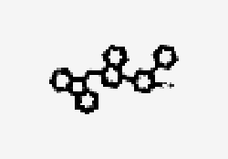 Oc1ccc(-c2ccc(CC3c4ccccc4-c4ccccc43)c3ccccc23)cc1-c1ccccc1